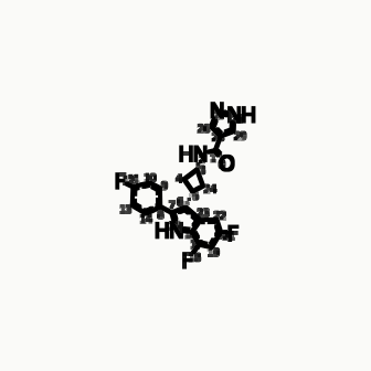 O=C(N[C@H]1C[C@@H](c2c(-c3ccc(F)cc3)[nH]c3c(F)cc(F)cc32)C1)c1cn[nH]c1